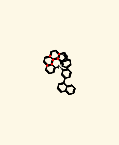 c1ccc(-c2ccccc2N(c2cccc(-c3cccc4ccccc34)c2)c2ccccc2-c2cccc3oc4ccccc4c23)cc1